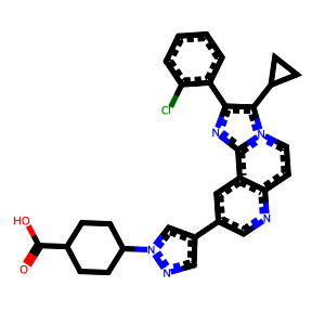 O=C(O)C1CCC(n2cc(-c3cnc4ccn5c(C6CC6)c(-c6ccccc6Cl)nc5c4c3)cn2)CC1